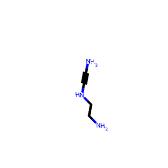 NC#CNCCN